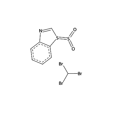 BrC(Br)Br.O=S(=O)=S1C=Nc2ccccc21